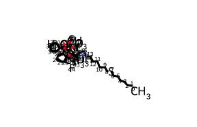 CCCCCCCSCCCCCC/C=C/[C@H](C(=O)N1C(=S)OC(c2ccccc2)(c2ccccc2)[C@@H]1C(C)C)[C@@](O)(CCF)C(=O)OC(C)(C)C